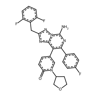 Nc1nc(-c2ccc(F)cc2)c(-c2ccc(=O)n(C3CCOC3)c2)c2nc(Cc3c(F)cccc3F)nn12